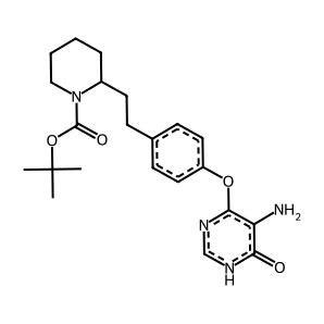 CC(C)(C)OC(=O)N1CCCCC1CCc1ccc(Oc2nc[nH]c(=O)c2N)cc1